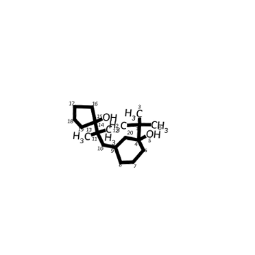 CC(C)(C)C1(O)CCCC(CC(C)(C)C2(O)CCCC2)C1